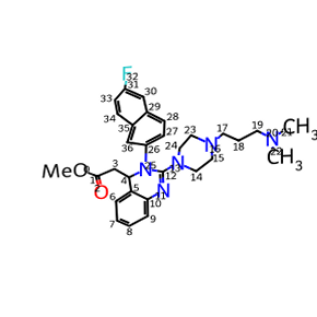 COC(=O)CC1c2ccccc2N=C(N2CCN(CCCN(C)C)CC2)N1c1ccc2cc(F)ccc2c1